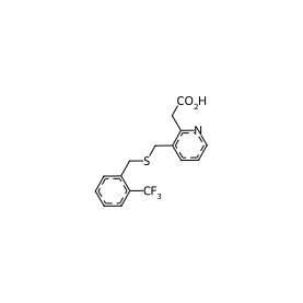 O=C(O)Cc1ncccc1CSCc1ccccc1C(F)(F)F